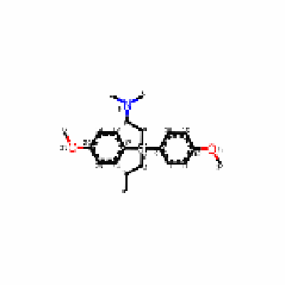 CCC[Si](CCN(C)C)(c1ccc(OC)cc1)c1ccc(OC)cc1